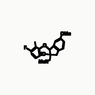 CNCC1(O)Cc2ccc(OC)cc2C1Oc1cccc(F)c1C